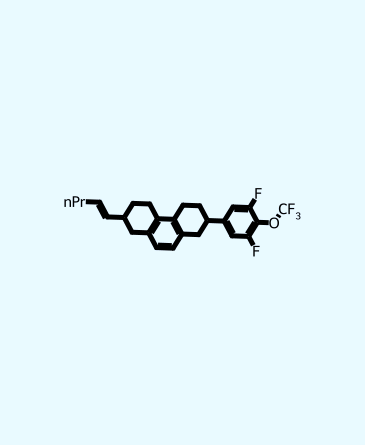 CCCC=CC1CCc2c(ccc3c2CCC(c2cc(F)c(OC(F)(F)F)c(F)c2)C3)C1